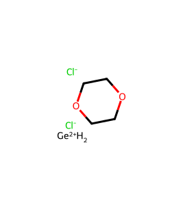 C1COCCO1.[Cl-].[Cl-].[GeH2+2]